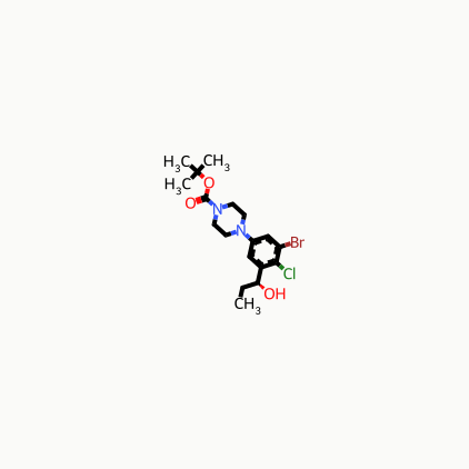 CC[C@H](O)c1cc(N2CCN(C(=O)OC(C)(C)C)CC2)cc(Br)c1Cl